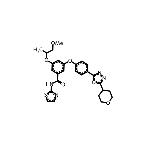 COCC(C)Oc1cc(Oc2ccc(-c3nnc(C4CCOCC4)o3)cc2)cc(C(=O)Nc2nccs2)c1